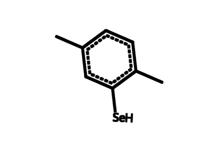 Cc1ccc(C)c([SeH])c1